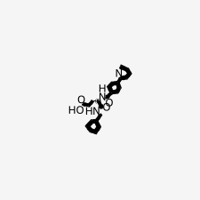 O=C(O)CC[C@H](NC(=O)c1ccc(-c2ccccn2)cc1)C(=O)NCc1ccccc1